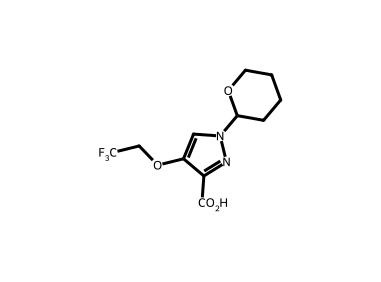 O=C(O)c1nn(C2CCCCO2)cc1OCC(F)(F)F